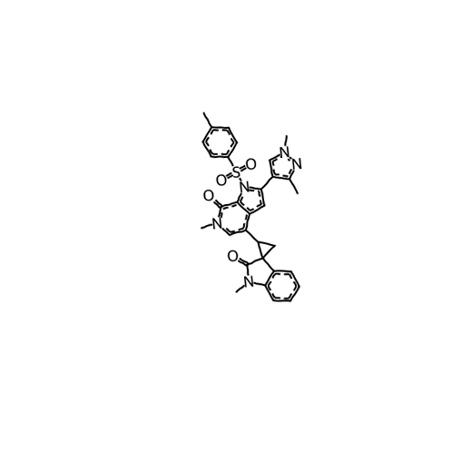 Cc1ccc(S(=O)(=O)n2c(-c3cn(C)nc3C)cc3c(C4CC45C(=O)N(C)c4ccccc45)cn(C)c(=O)c32)cc1